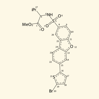 COC(=O)C(NS(=O)(=O)c1ccc2oc3cc(-c4ccc(Br)s4)ccc3c2c1)C(C)C